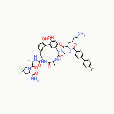 C[C@@H]1NC(=O)[C@@H](N(C)C(=O)[C@H](CCCCN)NC(=O)c2ccc(-c3ccc(Cl)cc3)cc2)c2ccc(O)c(c2)-c2cc(ccc2O)C[C@@H](C(=O)N[C@@H](C)C(=O)N2CC(F)(F)C[C@H]2C(N)=O)NC1=O